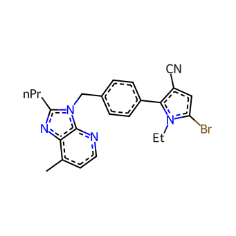 CCCc1nc2c(C)ccnc2n1Cc1ccc(-c2c(C#N)cc(Br)n2CC)cc1